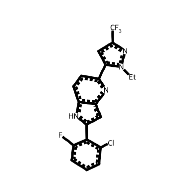 CCn1nc(C(F)(F)F)cc1-c1ccc2[nH]c(-c3c(F)cccc3Cl)cc2n1